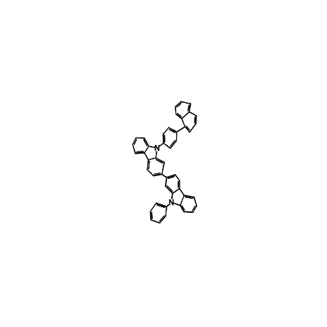 c1ccc(-n2c3ccccc3c3ccc(-c4ccc5c6ccccc6n(-c6ccc(-c7cccc8ccccc78)cc6)c5c4)cc32)cc1